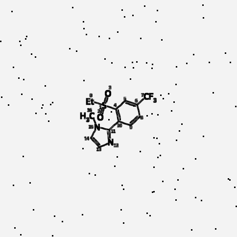 CCS(=O)(=O)c1cc(C(F)(F)F)ccc1-c1nccn1C